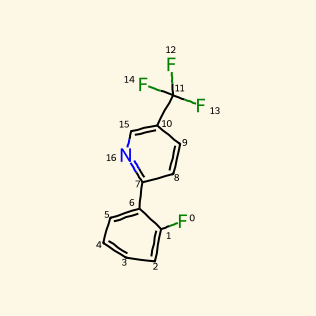 Fc1ccccc1-c1ccc(C(F)(F)F)cn1